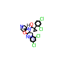 NC(=O)[C@H](Cc1ccc(Cl)cc1Cl)N(C(=O)C1(c2ccc(Cl)cc2Cl)CC1)[C@H]1CN2CCC1CC2